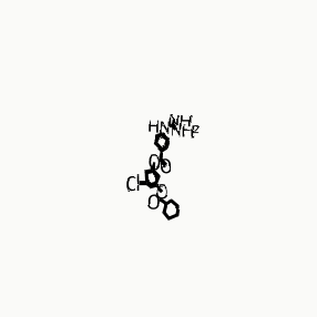 N=C(N)Nc1ccc(C(=O)Oc2cc(Cl)cc(OC(=O)C3CCCCC3)c2)cc1